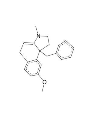 COc1ccc2c(c1)C1(Cc3ccccc3)CCN(C)C1=CC2